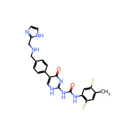 Cc1cc(F)c(NC(=O)Nc2nc(=O)c(-c3ccc(CNCc4ncc[nH]4)cc3)c[nH]2)cc1F